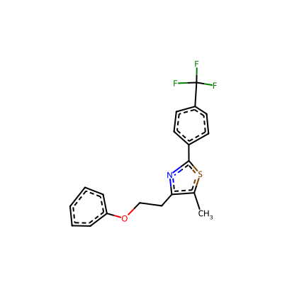 Cc1sc(-c2ccc(C(F)(F)F)cc2)nc1CCOc1ccccc1